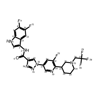 O=C(Nc1c[nH]c2cc(F)c(F)cc12)c1cn(-c2cnc(C3CCCN(CC(F)(F)F)C3)c(F)c2)nn1